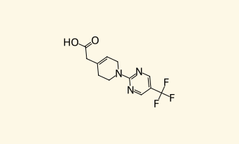 O=C(O)CC1=CCN(c2ncc(C(F)(F)F)cn2)CC1